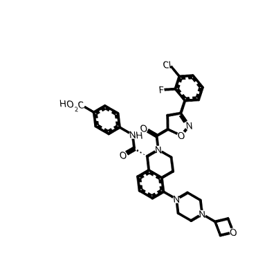 O=C(O)c1ccc(NC(=O)[C@H]2c3cccc(N4CCN(C5COC5)CC4)c3CCN2C(=O)C2CC(c3cccc(Cl)c3F)=NO2)cc1